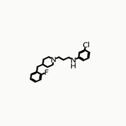 Fc1ccccc1CC1CCN(CCCNc2cccc(Cl)c2)CC1